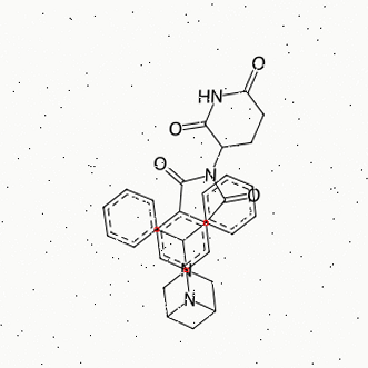 O=C1CCC(N2C(=O)c3ccc(N4C5CC4CN(C(c4ccccc4)c4ccccc4)C5)cc3C2=O)C(=O)N1